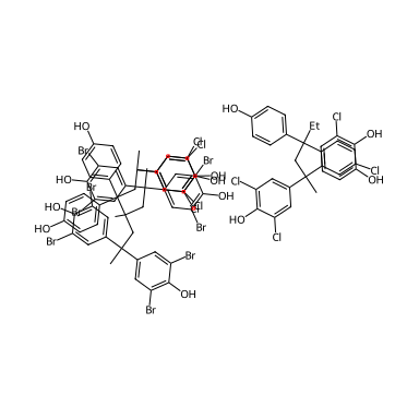 CC(CC(C)(CC(C)(c1cc(Br)c(O)c(Br)c1)c1cc(Br)c(O)c(Br)c1)C(CC(C)(c1cc(Cl)c(O)c(Cl)c1)c1cc(Cl)c(O)c(Cl)c1)(c1ccc(O)cc1)c1ccc(O)cc1)(c1cc(Br)c(O)c(Br)c1)c1cc(Br)c(O)c(Br)c1.CCC(CC(C)(c1cc(Cl)c(O)c(Cl)c1)c1cc(Cl)c(O)c(Cl)c1)(c1ccc(O)cc1)c1ccc(O)cc1